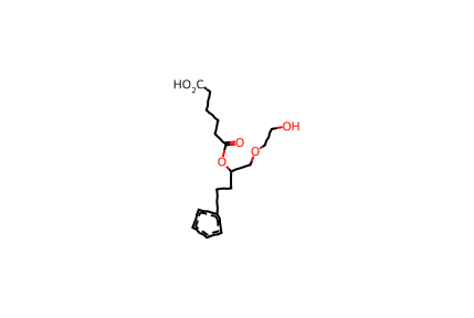 O=C(O)CCCCC(=O)OC(CCc1ccccc1)COCCO